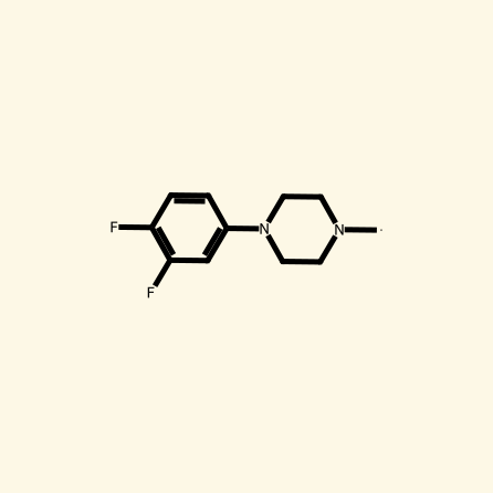 [CH2]N1CCN(c2ccc(F)c(F)c2)CC1